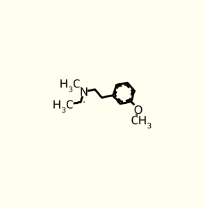 C[CH]N(C)CCc1cccc(OC)c1